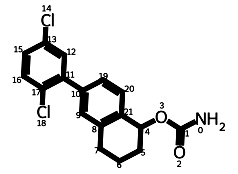 NC(=O)OC1CCCc2cc(-c3cc(Cl)ccc3Cl)ccc21